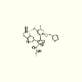 CCNC(=O)c1noc(-c2cc(C(C)C)c(C)cc2OCc2ccccc2)c1-c1cnc2c(c1)CNCC2